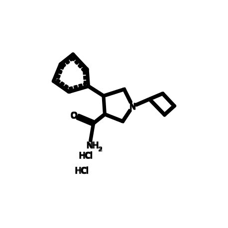 Cl.Cl.NC(=O)C1CN(C2CCC2)CC1c1ccccc1